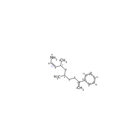 C=C(CCC(C)CC(C)/C=C\N)c1ccccc1